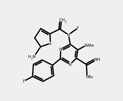 C=C(C1=CCC(N)S1)N(F)c1nc(-c2ccc(F)cc2)nc(C(=N)CCCC)c1NC